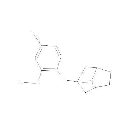 CCCOc1cc(C(F)(F)F)ccc1OC1CC2CCC(C1)N2C